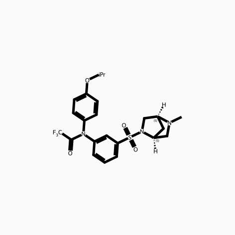 CC(C)Oc1ccc(N(C(=O)C(F)(F)F)c2cccc(S(=O)(=O)N3C[C@@H]4C[C@H]3CN4C)c2)cc1